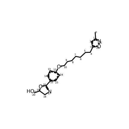 Cc1cc(CCCCCCCOc2ccc(C3=NCC(CO)O3)cc2)on1